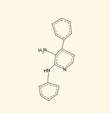 Nc1c(-c2ccccc2)ccnc1Nc1ccccc1